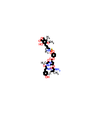 CC[C@H](C)[C@H](N)C(=O)O[C@@H]1C[C@@H](C(=O)Oc2ccc3c(c2)OP(=S)(NC/C(C)=C/Cc2c(O)c4c(c(C)c2OC)COC4=O)O3)N(C(=O)[C@H](C)NC(=O)[C@H](N)Cc2ccc(O)cc2)C1